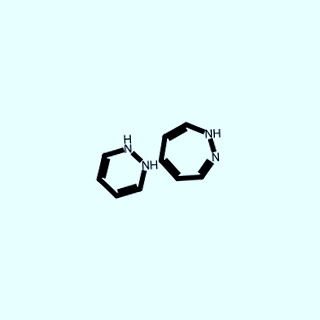 C1=CC=NNC=C1.C1=CNNC=C1